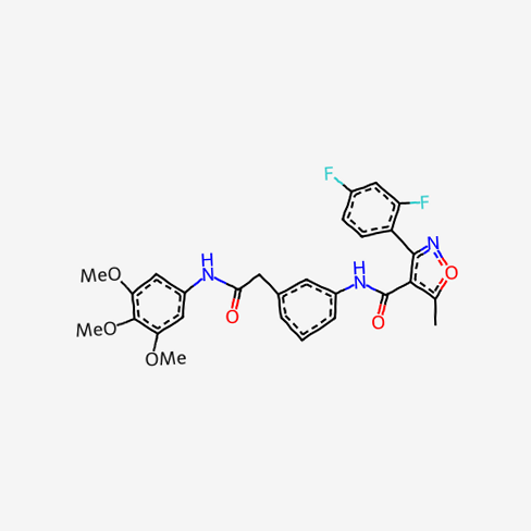 COc1cc(NC(=O)Cc2cccc(NC(=O)c3c(-c4ccc(F)cc4F)noc3C)c2)cc(OC)c1OC